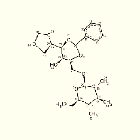 CC[C@H]1O[C@@H](OC[C@@H]2OC(c3ccccc3)O[C@H]([C@H]3COCO3)[C@@H]2O)[C@H](C)[C@@H](C)[C@@H]1C